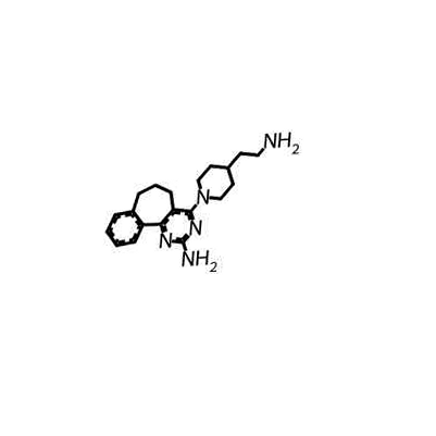 NCCC1CCN(c2nc(N)nc3c2CCCc2ccccc2-3)CC1